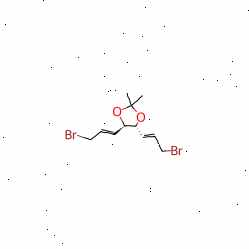 CC1(C)O[C@H](/C=C/CBr)[C@@H](/C=C/CBr)O1